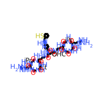 CC[C@H]1NC(=O)C(CCCCNC(=O)C(CCC(=O)NCCCC[C@H]2NC(=O)[C@H](C(C)C)NC(=O)[C@@H](CCCNC(=N)N)NC(=O)CNC(=O)[C@@H](CC=O)NC2=O)NC(=O)c2ccc(NN=Cc3ccccc3S)nc2)NC(=O)[C@H](C(C)C)NC(=O)[C@@H](CCCNC(=N)N)NC(=O)CNC1=O